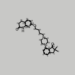 CC1(C)Cc2cccc(N3CCN(CCCCOc4ccc5c(n4)NC(=O)CC5)CC3)c2C1=O